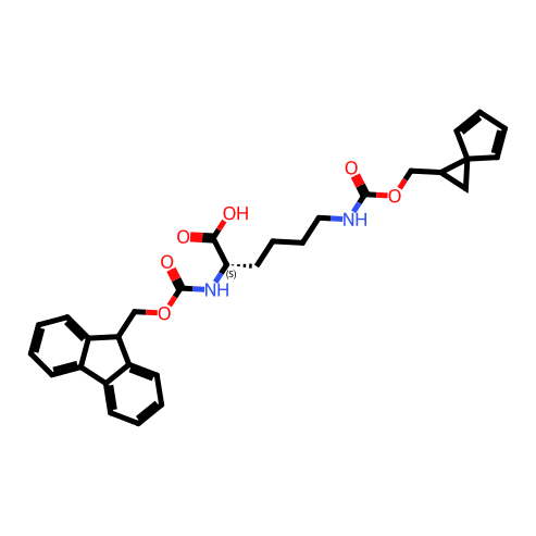 O=C(NCCCC[C@H](NC(=O)OCC1c2ccccc2-c2ccccc21)C(=O)O)OCC1CC12C=CC=C2